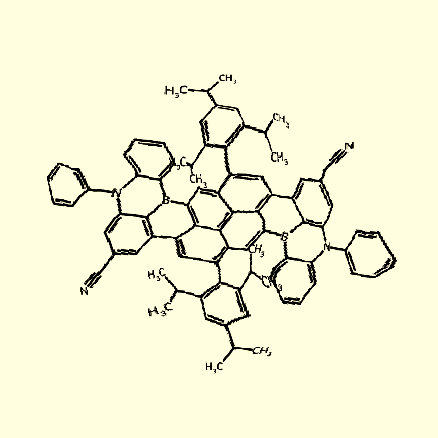 CC(C)c1cc(C(C)C)c(-c2cc3c4c(cc5c(-c6c(C(C)C)cc(C(C)C)cc6C(C)C)cc6c7c(cc2c4c57)B2c4ccccc4N(c4ccccc4)c4cc(C#N)cc-6c42)B2c4ccccc4N(c4ccccc4)c4cc(C#N)cc-3c42)c(C(C)C)c1